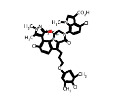 Cc1cc(OCCCc2c3n(c4c(-c5c(C)nn(C)c5C)c(Cl)ccc24)[C@H](C)CN(c2ccc(Cl)c4c(C(=O)O)cn(C)c24)C3=O)cc(C)c1Cl